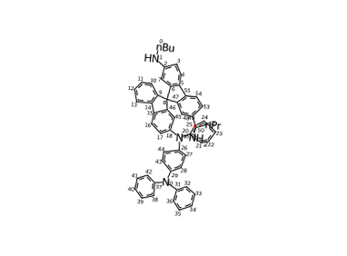 CCCCNc1ccc2c(c1)C1(c3ccccc3-c3ccc(N(c4ccccc4)c4ccc(N(c5ccccc5)c5ccccc5)cc4)cc31)c1cc(C(N)CCC)ccc1-2